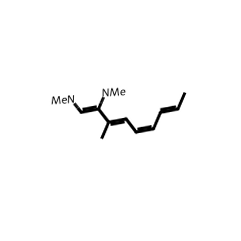 C/C=C/C=C\C=C(C)\C(=C\NC)NC